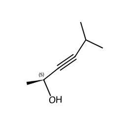 CC(C)C#C[C@H](C)O